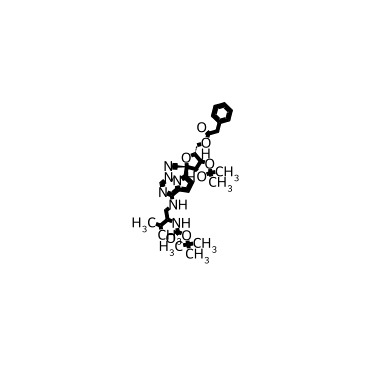 CC(C)C(CNc1ncnn2c([C@]3(C#N)O[C@H](COC(=O)Cc4ccccc4)[C@H]4OC(C)(C)O[C@H]43)ccc12)NC(=O)OC(C)(C)C